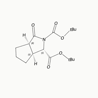 CC(C)(C)OC(=O)[C@@H]1[C@H]2CCC[C@H]2C(=O)N1C(=O)OC(C)(C)C